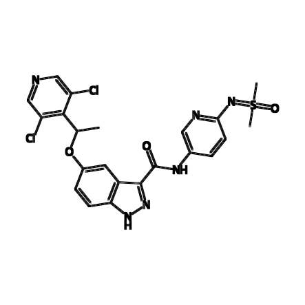 CC(Oc1ccc2[nH]nc(C(=O)Nc3ccc(N=S(C)(C)=O)nc3)c2c1)c1c(Cl)cncc1Cl